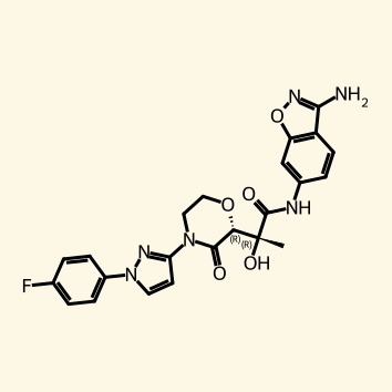 C[C@](O)(C(=O)Nc1ccc2c(N)noc2c1)[C@H]1OCCN(c2ccn(-c3ccc(F)cc3)n2)C1=O